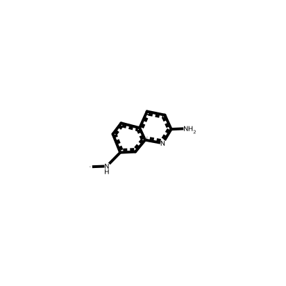 [CH2]Nc1ccc2ccc(N)nc2c1